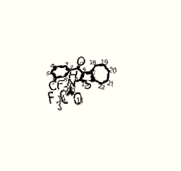 O=C(c1cccc(C(F)(F)F)c1)c1c(NC(=O)C(F)(F)F)sc2c1CCCCC2